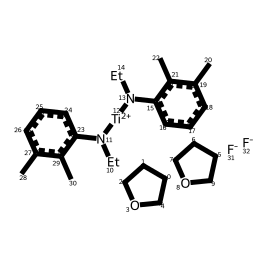 C1CCOC1.C1CCOC1.CC[N]([Ti+2][N](CC)c1cccc(C)c1C)c1cccc(C)c1C.[F-].[F-]